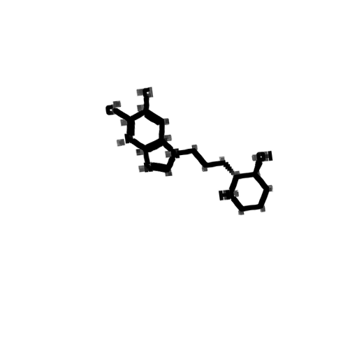 O[C@H]1CCCN[C@@H]1CCCn1cnc2nc(Cl)c(Cl)cc21